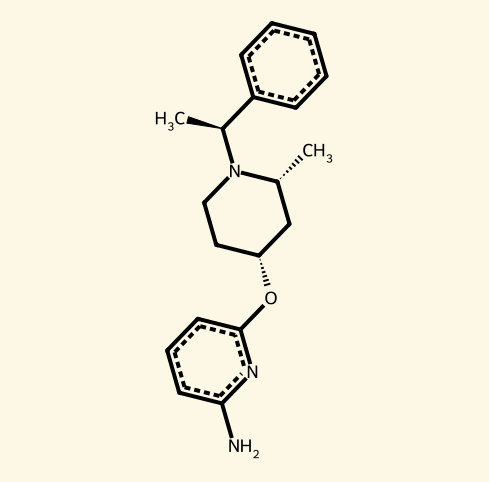 C[C@@H]1C[C@H](Oc2cccc(N)n2)CCN1[C@@H](C)c1ccccc1